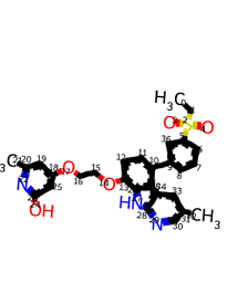 CCS(=O)(=O)c1cccc(-c2ccc(OCCOc3cc(C)nc(O)c3)c3[nH]c4ncc(C)cc4c23)c1